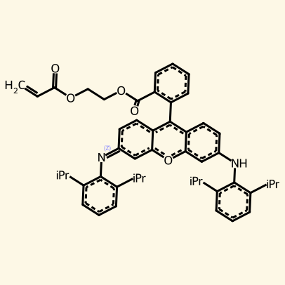 C=CC(=O)OCCOC(=O)c1ccccc1-c1c2cc/c(=N/c3c(C(C)C)cccc3C(C)C)cc-2oc2cc(Nc3c(C(C)C)cccc3C(C)C)ccc12